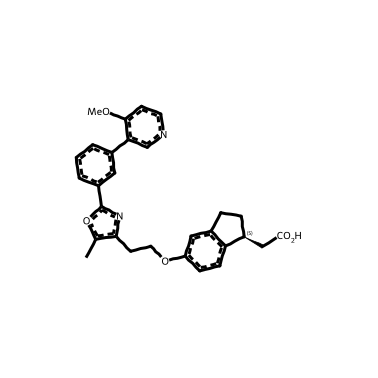 COc1ccncc1-c1cccc(-c2nc(CCOc3ccc4c(c3)CC[C@H]4CC(=O)O)c(C)o2)c1